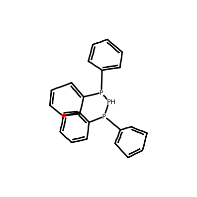 c1ccc(P(PP(c2ccccc2)c2ccccc2)c2ccccc2)cc1